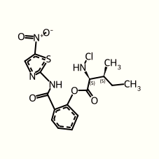 CC[C@H](C)[C@H](NCl)C(=O)Oc1ccccc1C(=O)Nc1ncc([N+](=O)[O-])s1